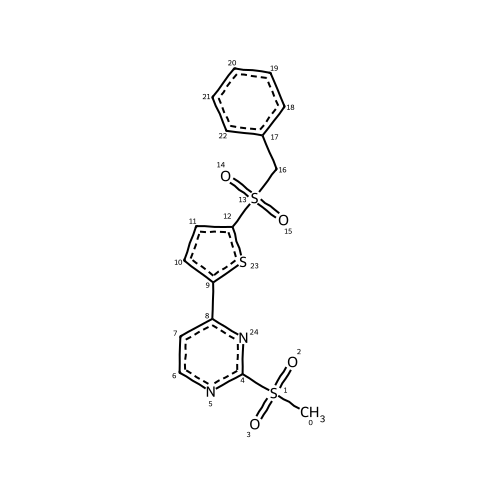 CS(=O)(=O)c1nccc(-c2ccc(S(=O)(=O)Cc3ccccc3)s2)n1